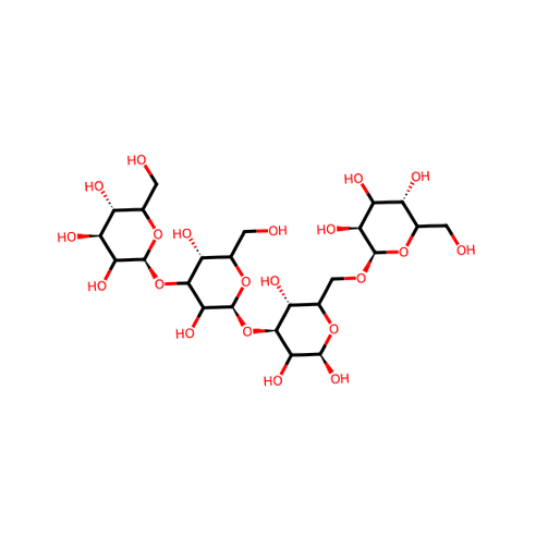 OCC1O[C@@H](O[C@@H]2C(O)[C@H](O)OC(CO[C@@H]3OC(CO)[C@@H](O)C(O)[C@@H]3O)[C@H]2O)C(O)C(O[C@@H]2OC(CO)[C@@H](O)[C@H](O)C2O)[C@@H]1O